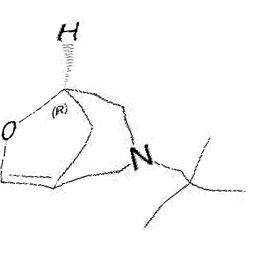 CC(C)(C)N1C[C@H]2CC1=CO2